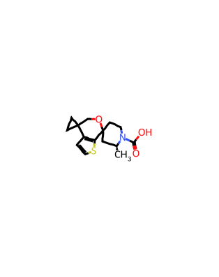 C[C@H]1CC2(CCN1C(=O)O)OCC1(CC1)c1ccsc12